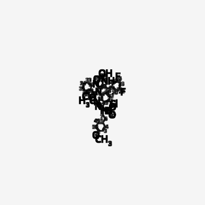 COc1ccc(CCN(c2nn(C)c3c(-n4c([C@H](Cc5cc(F)cc(F)c5)NC(=O)O)nc5cccc(Cl)c5c4=O)ccc(Cl)c23)[SH](=O)=O)cc1